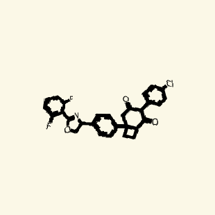 O=C1CC2(c3ccc(C4COC(c5c(F)cccc5F)=N4)cc3)CCC2C(=O)C1c1ccc(Cl)cc1